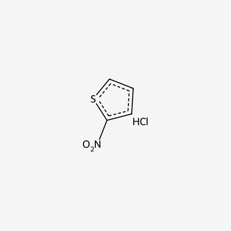 Cl.O=[N+]([O-])c1cccs1